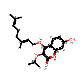 CC(C)=CCC/C(C)=C/COc1c(OC(C)C)c(=O)oc2cc(O)ccc12